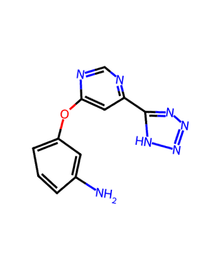 Nc1cccc(Oc2cc(-c3nnn[nH]3)ncn2)c1